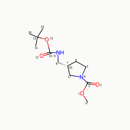 COC(=O)N1CC[C@@H](CNC(=O)OC(C)(C)C)C1